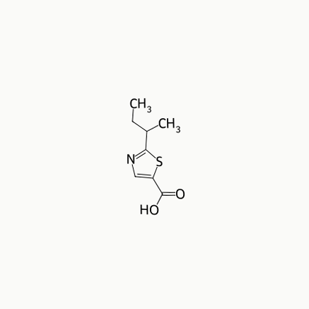 CCC(C)c1ncc(C(=O)O)s1